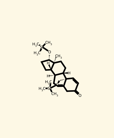 C[C@]12CC[C@H]3[C@@H](CC=C4CC(=O)C=C[C@@]43CO[Si](C)(C)C)[C@@H]1CC[C@@H]2O[Si](C)(C)C